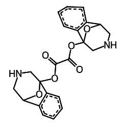 O=C(OC12CNCC(O1)c1ccccc12)C(=O)OC12CNCC(O1)c1ccccc12